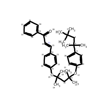 CC(C)(C)CC(C)(C)c1ccc(OC(C)(C)CC(C)(C)Oc2ccc(/C=C/C(=O)c3ccccc3)cc2)cc1